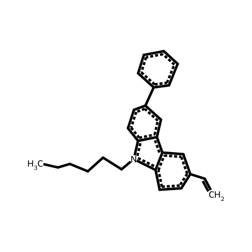 C=Cc1ccc2c(c1)c1cc(-c3ccccc3)ccc1n2CCCCCC